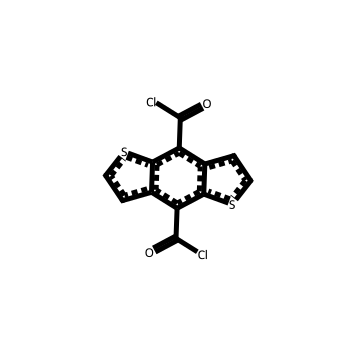 O=C(Cl)c1c2ccsc2c(C(=O)Cl)c2ccsc12